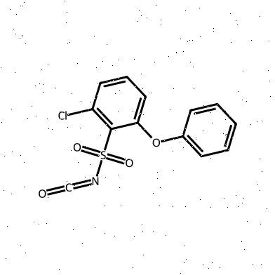 O=C=NS(=O)(=O)c1c(Cl)cccc1Oc1ccccc1